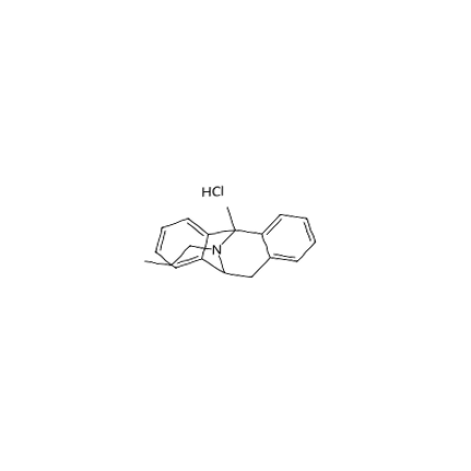 CCCN1C2Cc3ccccc3C1(C)c1ccccc12.Cl